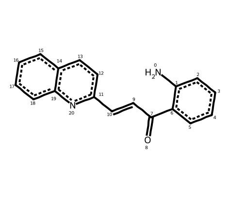 Nc1ccccc1C(=O)/C=C/c1ccc2ccccc2n1